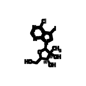 C[C@]1(O)C(n2cc(I)c3c(Cl)ncnc32)OC(CO)[C@H]1O